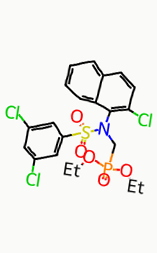 CCOP(=O)(CN(c1c(Cl)ccc2ccccc12)S(=O)(=O)c1cc(Cl)cc(Cl)c1)OCC